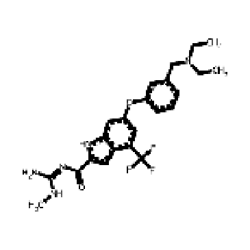 CCN(CC)Cc1cccc(Oc2cc(C(F)(F)F)c3cc(C(=O)N=C(N)NC)[nH]c3c2)c1